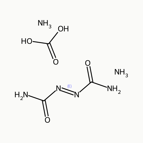 N.N.NC(=O)/N=N/C(N)=O.O=C(O)O